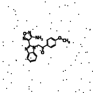 COc1ccc(C(=O)Cn2c(-c3nonc3N)nc3ccccc32)cc1